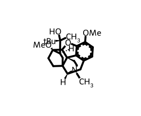 COc1ccc2c3c1OC1[C@@]4(OC)CCC5(C[C@@H]4[C@@](C)(O)C(C)(C)C)[C@@H](C2)N(C)CC[C@]315